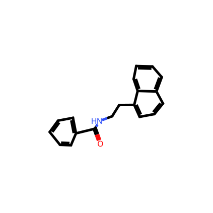 O=C(NCCc1cccc2ccccc12)c1ccccc1